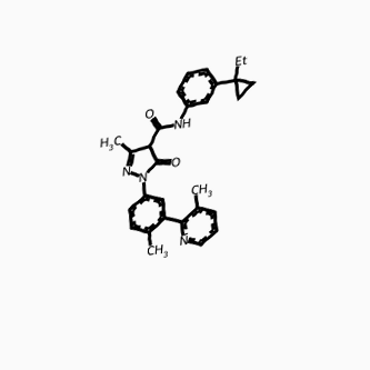 CCC1(c2cccc(NC(=O)C3C(=O)N(c4ccc(C)c(-c5ncccc5C)c4)N=C3C)c2)CC1